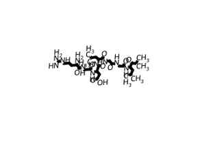 CC(C)CC(NC(=O)C(CC(=O)O)NC(=O)CNC(=O)C(N)CCCNC(=N)N)C(=O)NCC(=O)NCC(=O)NC(CC(C)C)C(=O)C(C)C